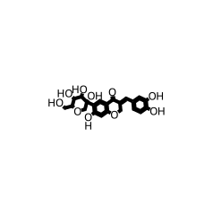 O=C1/C(=C/c2ccc(O)c(O)c2)COc2cc(O)c(C3(O)COC(CO)C(O)C3O)cc21